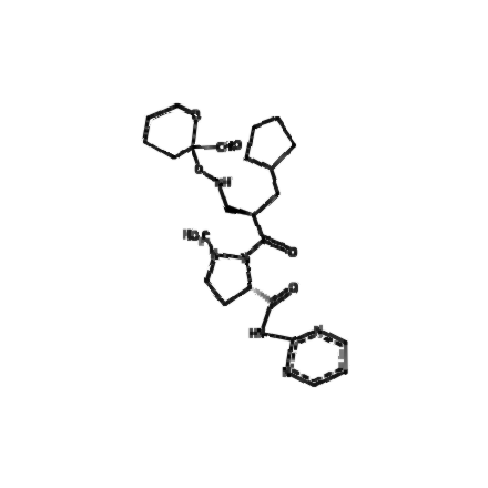 O=CC1(ONC[C@@H](CC2CCCC2)C(=O)N2[C@H](C(=O)Nc3ncccn3)CCN2C(=O)O)CCCCO1